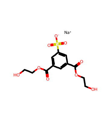 O=C(OCCO)c1cc(C(=O)OCCO)cc(S(=O)(=O)[O-])c1.[Na+]